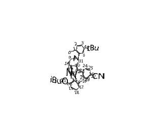 Cc1ccc(C(C)(C)C)cc1N1CCc2nn(-c3c(C)cccc3OCC(C)C)c(-c3ccc(C#N)cc3)c2C1